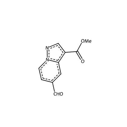 COC(=O)c1cnn2ccc(C=O)cc12